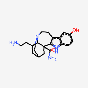 NCCC1CC2CN3CCc4c([nH]c5ccc(O)cc45)C(C(N)=O)(C2)C13